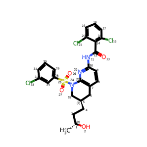 C[C@@H](O)CC[C@@H]1Cc2ccc(NC(=O)c3c(Cl)cccc3Cl)nc2N(S(=O)(=O)c2cccc(Cl)c2)C1